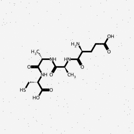 C[C@H](NC(=O)[C@H](C)NC(=O)[C@@H](N)CCC(=O)O)C(=O)N[C@@H](CS)C(=O)O